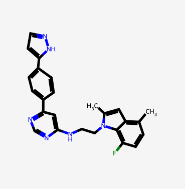 Cc1ccc(F)c2c1cc(C)n2CCNc1cc(-c2ccc(-c3ccn[nH]3)cc2)ncn1